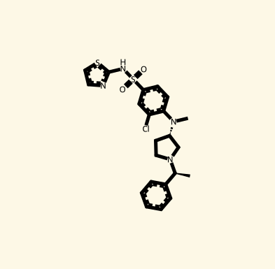 C[C@@H](c1ccccc1)N1CC[C@H](N(C)c2ccc(S(=O)(=O)Nc3nccs3)cc2Cl)C1